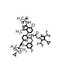 Cn1nc(NS(C)(=O)=O)c2c(Cl)ccc(-c3ccc(C#CC(C)(C)S(=O)(=O)C4CC4)nc3[C@H](Cc3cc(F)cc(F)c3)NC(=O)Cn3nc(C(F)F)c(C4CC4)c3C(F)F)c21